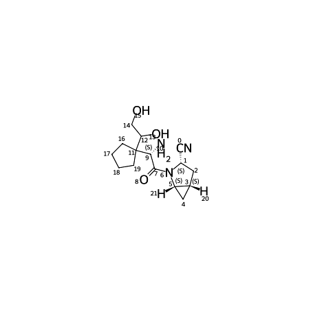 N#C[C@@H]1C[C@@H]2C[C@@H]2N1C(=O)[C@@H](N)C1(C(O)CO)CCCC1